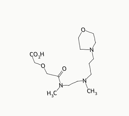 CN(CCCN1CCOCC1)CCN(C)C(=O)COCC(=O)O